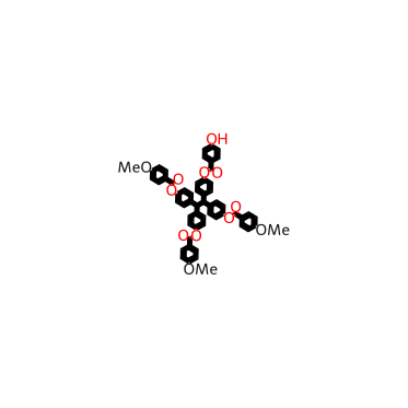 COc1ccc(C(=O)Oc2ccc(C(c3ccc(OC(=O)c4ccc(O)cc4)cc3)C(c3ccc(OC(=O)c4ccc(OC)cc4)cc3)c3ccc(OC(=O)c4ccc(OC)cc4)cc3)cc2)cc1